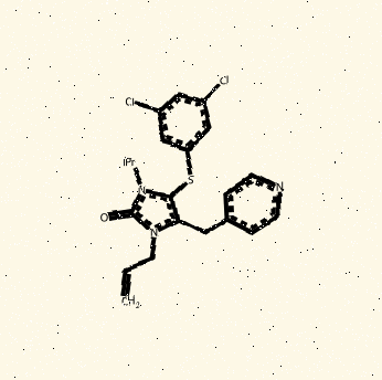 C=CCn1c(Cc2ccncc2)c(Sc2cc(Cl)cc(Cl)c2)n(C(C)C)c1=O